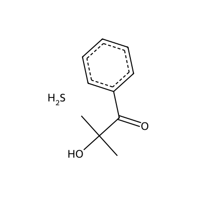 CC(C)(O)C(=O)c1ccccc1.S